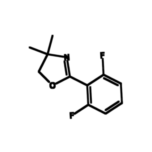 CC1(C)COC(c2c(F)cccc2F)=N1